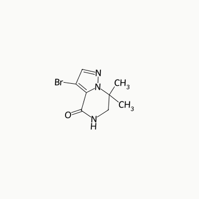 CC1(C)CNC(=O)c2c(Br)cnn21